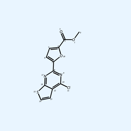 COC(=O)c1ccc(-c2nc(Cl)c3ccsc3n2)o1